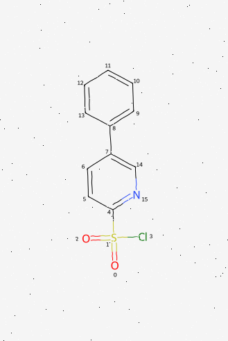 O=S(=O)(Cl)c1ccc(-c2ccccc2)cn1